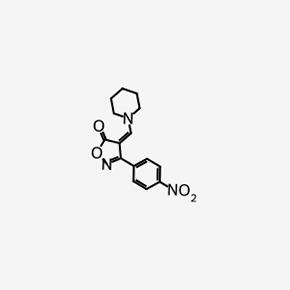 O=C1ON=C(c2ccc([N+](=O)[O-])cc2)C1=CN1CCCCC1